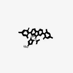 CCCCC1C=C(C(C)(C)C)C=[C]1[Zr](=[C](C)C)[CH]1c2cc(-c3c(C)cc(C)cc3C)ccc2-c2ccc(-c3c(C)cc(C)cc3C)cc21